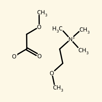 COCC(=O)[O-].COCC[N+](C)(C)C